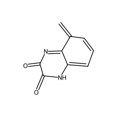 C=c1cccc2c1=NC(=O)C(=O)N2